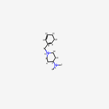 CN(C)C1CCN(CC2=CCCC=C2)CC1